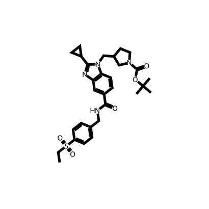 CCS(=O)(=O)c1ccc(CNC(=O)c2ccc3c(c2)nc(C2CC2)n3CC2CCN(C(=O)OC(C)(C)C)C2)cc1